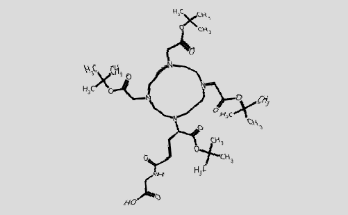 CC(C)(C)OC(=O)CN1CCN(CC(=O)OC(C)(C)C)CCN([C@H](CCC(=O)NCC(=O)O)C(=O)OC(C)(C)C)CCN(CC(=O)OC(C)(C)C)CC1